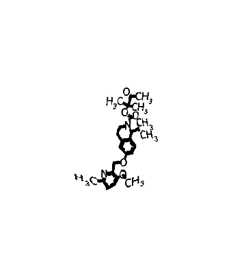 COc1ccc(C)nc1COc1ccc2c(c1)CCN(C(=O)OC(C)(C)C(C)=O)C2C(C)C